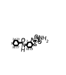 NS(=O)(=O)c1nc2cc(NC(=O)c3ccccc3)ccc2s1